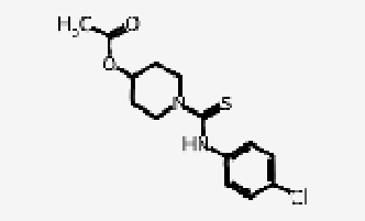 CC(=O)OC1CCN(C(=S)Nc2ccc(Cl)cc2)CC1